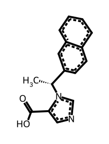 C[C@H](c1ccc2ccccc2c1)n1cncc1C(=O)O